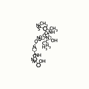 Cc1ncsc1-c1ccc([C@H](C)NC(=O)C2CC(O)CN2C(=O)[C@@H](c2cc(OCCN3CCC(c4cc5nnc(-c6ccccc6O)cc5[nH]4)CC3)no2)C(C)C)cc1